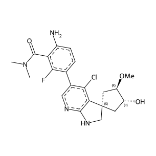 CO[C@@H]1C[C@@]2(CNc3ncc(-c4ccc(N)c(C(=O)N(C)C)c4F)c(Cl)c32)C[C@H]1O